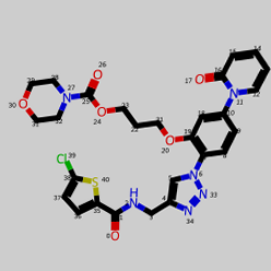 O=C(NCc1cn(-c2ccc(-n3ccccc3=O)cc2OCCCOC(=O)N2CCOCC2)nn1)c1ccc(Cl)s1